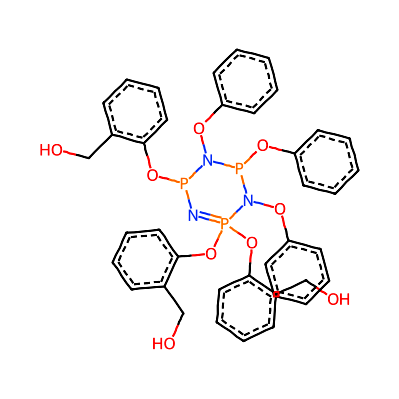 OCc1ccccc1OP1N=P(Oc2ccccc2CO)(Oc2ccccc2CO)N(Oc2ccccc2)P(Oc2ccccc2)N1Oc1ccccc1